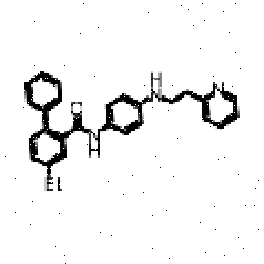 CCc1ccc(-c2ccccc2)c(C(=O)Nc2ccc(NCCc3ccccn3)cc2)c1